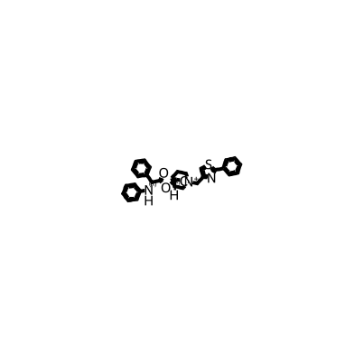 O=C(O[C@H]1C[N+]2(Cc3csc(-c4ccccc4)n3)CCC1CC2)[C@H](Nc1ccccc1)c1ccccc1